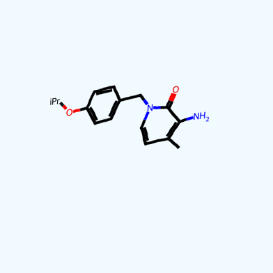 Cc1ccn(Cc2ccc(OC(C)C)cc2)c(=O)c1N